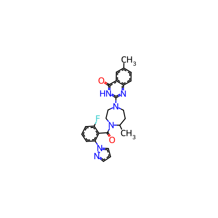 Cc1ccc2nc(N3CCC(C)N(C(=O)c4c(F)cccc4-n4cccn4)CC3)[nH]c(=O)c2c1